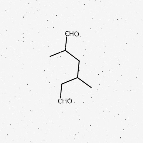 CC(C=O)CC(C)CC=O